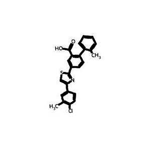 Cc1cc(-c2csc(-c3ccc(-c4ccccc4C)c(C(=O)O)c3)n2)ccc1Cl